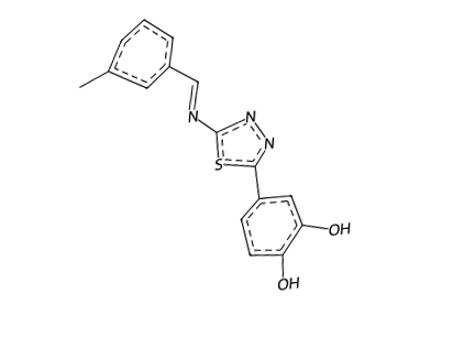 Cc1cccc(C=Nc2nnc(-c3ccc(O)c(O)c3)s2)c1